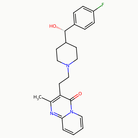 Cc1nc2ccccn2c(=O)c1CCN1CCC([C@H](O)c2ccc(F)cc2)CC1